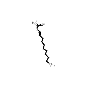 CCCCCCCCCC=COC(C)=S